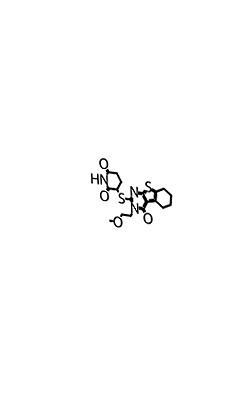 COCCn1c(SC2CCC(=O)NC2=O)nc2sc3c(c2c1=O)CCCC3